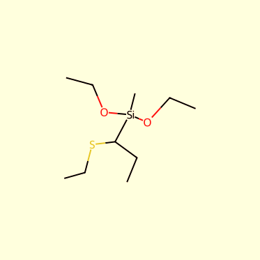 CCO[Si](C)(OCC)C(CC)SCC